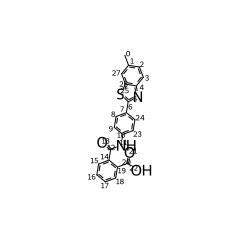 Cc1ccc2nc(-c3ccc(NC(=O)c4ccccc4C(=O)O)cc3)sc2c1